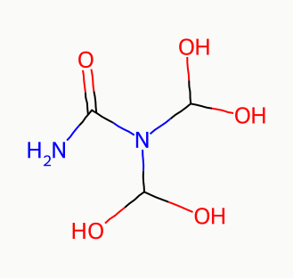 NC(=O)N(C(O)O)C(O)O